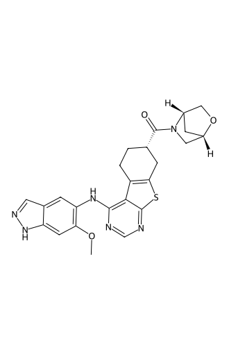 COc1cc2[nH]ncc2cc1Nc1ncnc2sc3c(c12)CC[C@H](C(=O)N1C[C@@H]2C[C@H]1CO2)C3